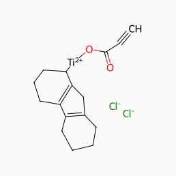 C#CC(=O)[O][Ti+2][CH]1CCCC2=C1CC1=C2CCCC1.[Cl-].[Cl-]